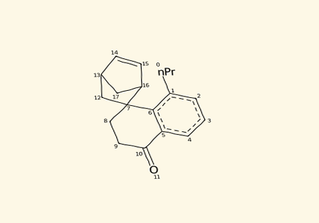 CCCc1cccc2c1C1(CCC2=O)CC2C=CC1C2